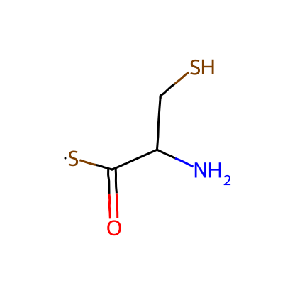 NC(CS)C(=O)[S]